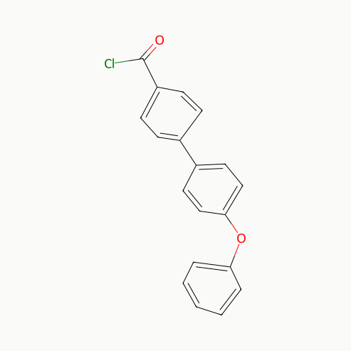 O=C(Cl)c1ccc(-c2ccc(Oc3ccccc3)cc2)cc1